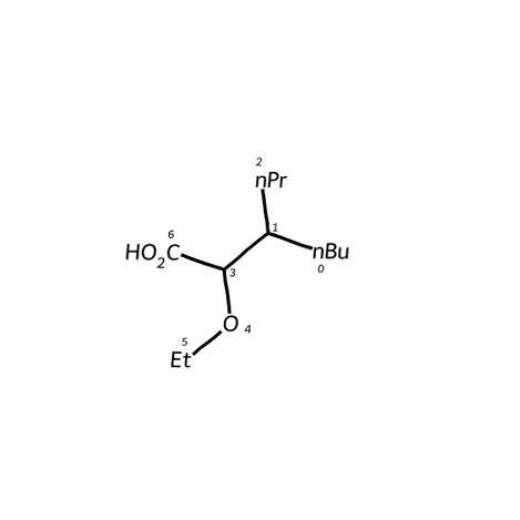 CCCCC(CCC)C(OCC)C(=O)O